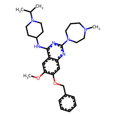 COc1cc2c(NC3CCN(C(C)C)CC3)nc(N3CCCN(C)CC3)nc2cc1OCc1ccccc1